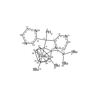 CC(C)(C)P(C[C]12[C]3(C(P)(c4cnccn4)c4cnccn4)[CH]4[C]5(C(C)(C)C)[C]1(C(C)(C)C)[Fe]42351678[CH]2[CH]1[CH]6[CH]7[CH]28)C(C)(C)C